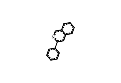 [c]1nc(-c2ccccc2)cc2ccccc12